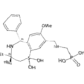 CCCC[C@]1(CC)CS(O)(O)c2cc(CNCP(=O)(O)O)c(OC)cc2[C@@H](c2ccccc2)N1